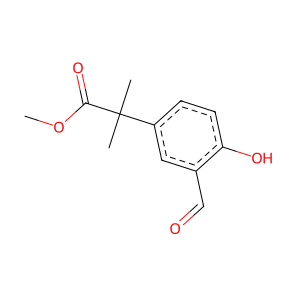 COC(=O)C(C)(C)c1ccc(O)c(C=O)c1